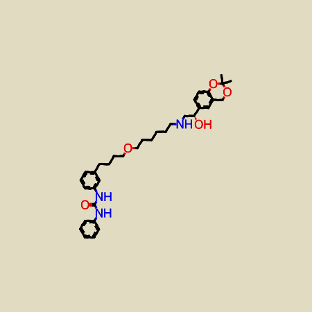 CC1(C)OCc2cc([C@H](O)CNCCCCCCOCCCCc3cccc(NC(=O)Nc4ccccc4)c3)ccc2O1